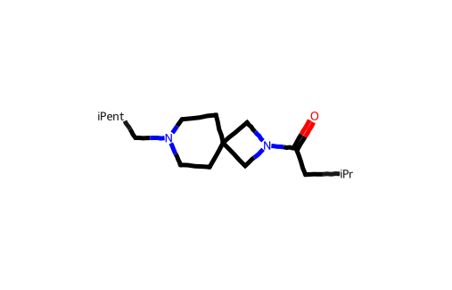 CCCC(C)CN1CCC2(CC1)CN(C(=O)CC(C)C)C2